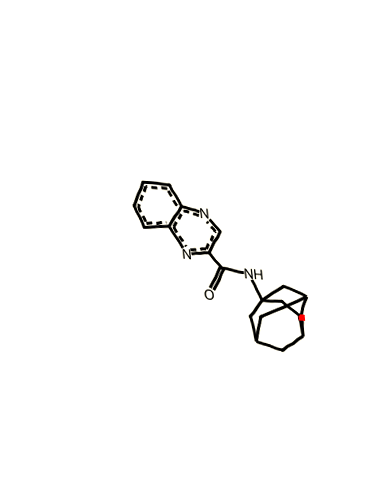 O=C(NC12CCC3CC(CC(C3)C1)C2)c1cnc2ccccc2n1